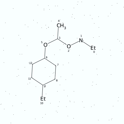 CC[N]OC(C)OC1CCC(CC)CC1